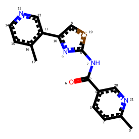 Cc1ccc(C(=O)Nc2nc(-c3cnccc3C)cs2)cn1